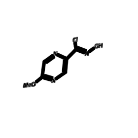 COc1cnc(C(Cl)=NO)cn1